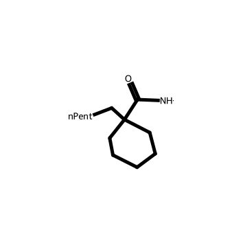 CCCCCCC1(C([NH])=O)CCCCC1